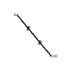 CC(=O)CCCCCCCCCCCCCCCCCCC(=O)C(=O)CCCCCCCCCCCCCCCCCCC(=O)C(=O)CCCCCCCCCCCCCCCCCCC=O